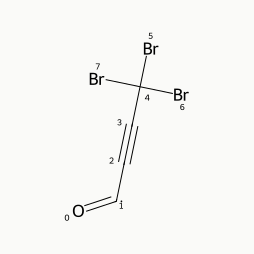 O=[C]C#CC(Br)(Br)Br